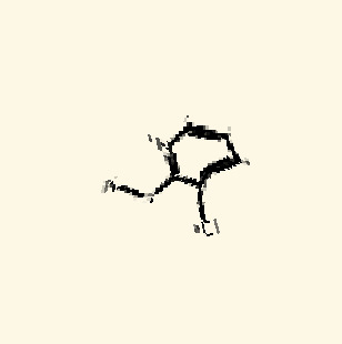 CC(C)Sc1ncccc1Cl